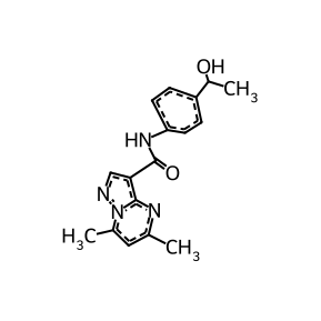 Cc1cc(C)n2ncc(C(=O)Nc3ccc(C(C)O)cc3)c2n1